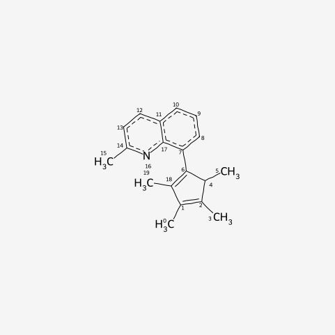 CC1=C(C)C(C)C(c2cccc3ccc(C)nc23)=C1C